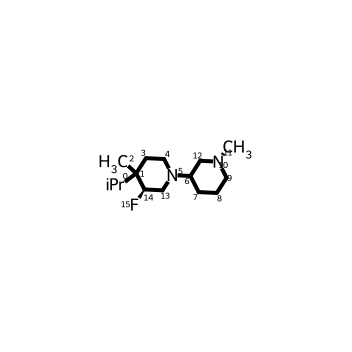 CC(C)C1(C)CCN(C2CCCN(C)C2)C[C@H]1F